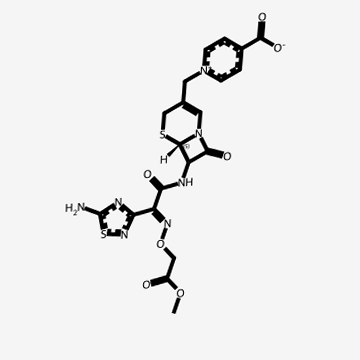 COC(=O)CON=C(C(=O)NC1C(=O)N2C=C(C[n+]3ccc(C(=O)[O-])cc3)CS[C@@H]12)c1nsc(N)n1